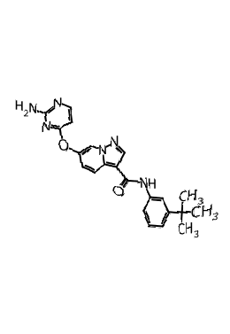 CC(C)(C)c1cccc(NC(=O)c2cnn3cc(Oc4ccnc(N)n4)ccc23)c1